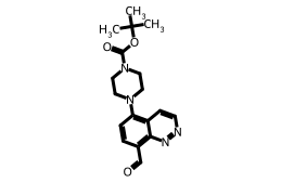 CC(C)(C)OC(=O)N1CCN(c2ccc(C=O)c3nnccc23)CC1